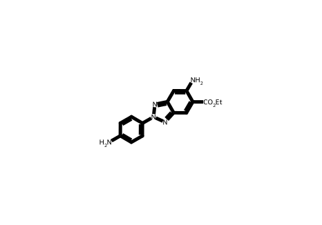 CCOC(=O)c1cc2nn(-c3ccc(N)cc3)nc2cc1N